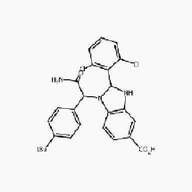 CC(C)(C)c1ccc(C(C(N)=O)N2c3ccc(C(=O)O)cc3NC2c2c(Cl)cccc2Cl)cc1